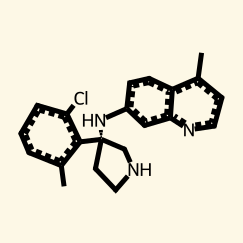 Cc1cccc(Cl)c1[C@]1(Nc2ccc3c(C)ccnc3c2)CCNC1